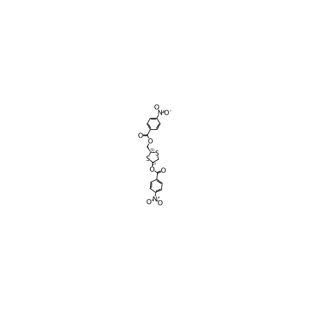 O=C(OC[C@H]1SC[C@@H](OC(=O)c2ccc([N+](=O)[O-])cc2)S1)c1ccc([N+](=O)[O-])cc1